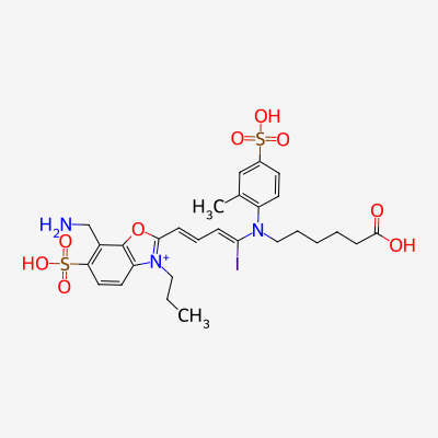 CCC[n+]1c(/C=C/C=C(\I)N(CCCCCC(=O)O)c2ccc(S(=O)(=O)O)cc2C)oc2c(CN)c(S(=O)(=O)O)ccc21